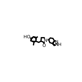 Cc1cc(O)cc(C)c1CC1CCN([C@@H]2CCc3n[nH]cc3C2)C1=O